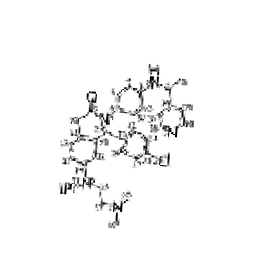 CC(Nc1ccc(N2C(=O)Cc3ccc(N(CCN(C)C)C(C)C)cc3C2c2ccc(Cl)cc2)cc1)c1ccncc1